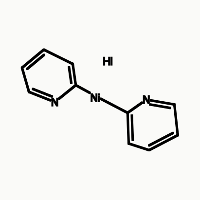 I.c1cc[c]([Ni][c]2ccccn2)nc1